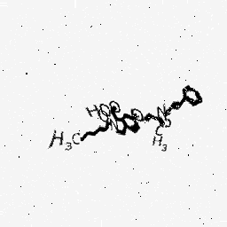 CCCCC=CC(=O)N1CCc2ccc(OCCc3nc(C=Cc4ccccc4)sc3C)cc2C1C(=O)O